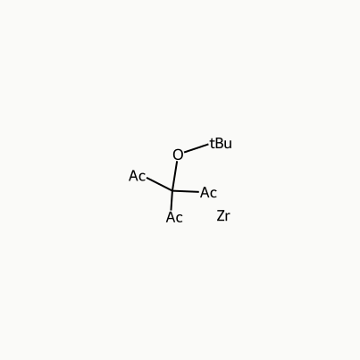 CC(=O)C(OC(C)(C)C)(C(C)=O)C(C)=O.[Zr]